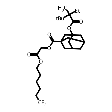 CCC(C)(C(=O)OC12CC3CC(C1)CC(C(=O)OCC(=O)OCCCCCC(F)(F)F)(C3)C2)C(C)(C)C